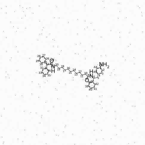 Nc1ccc(CC(NC(=O)CCCCCCCCCCCNC(=O)C(c2ccccc2)c2ccccc2)c2ccccc2)cc1